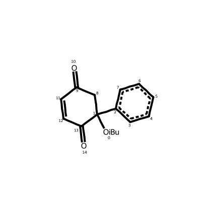 CC(C)COC1(c2ccccc2)CC(=O)C=CC1=O